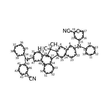 CC1(C)c2cc3cc(N(c4ccccc4)c4cccc(C#N)c4)ccc3cc2-c2c1c1ccc(N(c3ccccc3)c3cccc(C#N)c3)cc1c1ccccc21